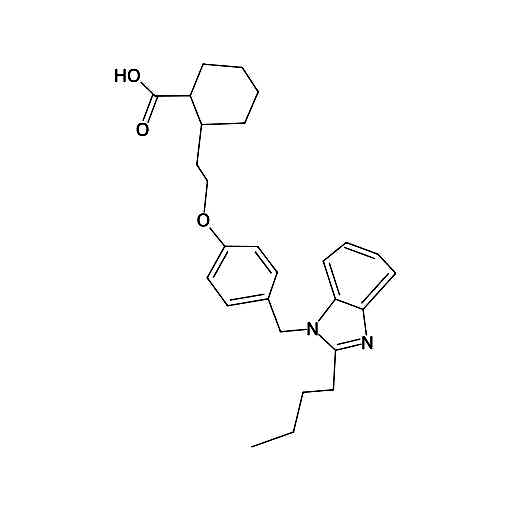 CCCCc1nc2ccccc2n1Cc1ccc(OCCC2CCCCC2C(=O)O)cc1